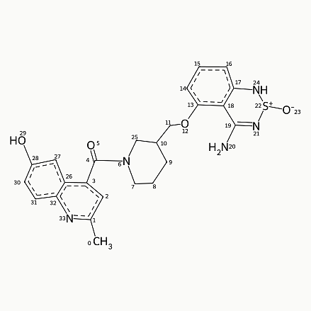 Cc1cc(C(=O)N2CCCC(COc3cccc4c3C(N)=N[S+]([O-])N4)C2)c2cc(O)ccc2n1